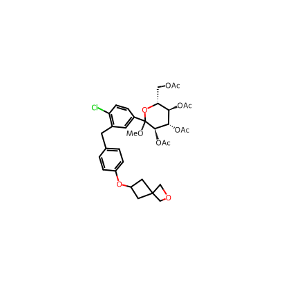 COC1(c2ccc(Cl)c(Cc3ccc(OC4CC5(COC5)C4)cc3)c2)O[C@H](COC(C)=O)[C@@H](OC(C)=O)[C@H](OC(C)=O)[C@H]1OC(C)=O